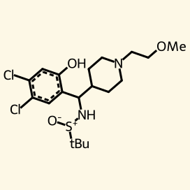 COCCN1CCC(C(N[S+]([O-])C(C)(C)C)c2cc(Cl)c(Cl)cc2O)CC1